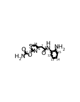 NC(=O)Oc1nc(CC(=O)Nc2ccccc2N)cs1